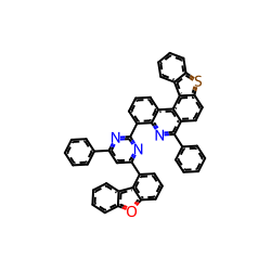 c1ccc(-c2cc(-c3cccc4oc5ccccc5c34)nc(-c3cccc4c3nc(-c3ccccc3)c3ccc5sc6ccccc6c5c34)n2)cc1